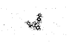 Cc1ccnc(C)c1-c1ccc(NC(=O)[C@@H](NC(=O)c2ccc3n2CCNC3)C2CCC(C)CC2)cc1